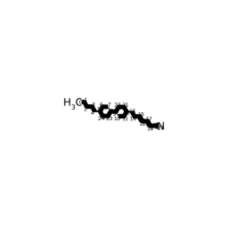 CCCCC[C@H]1CC[C@H]([C@H]2CC[C@H](CCC=CC=CC#N)CC2)CC1